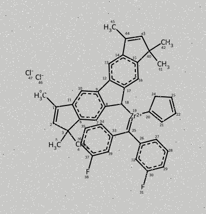 CC1=CC(C)(C)c2cc3c(cc21)-c1cc2c(cc1[CH]3[Zr+2]([C]1=CC=CC1)=[C](c1cccc(F)c1)c1cccc(F)c1)C(C)(C)C=C2C.[Cl-].[Cl-]